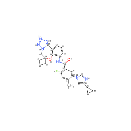 Cc1cc(F)c(C(=O)Nc2cccc3c2OC2(CCC2)Cn2nnnc2-3)cc1-n1cnc(C2CC2)c1